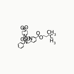 CC(C)CCOC(=O)c1ccc(CN(c2ccccc2)S(=O)(=O)N2CCS(=O)(=O)CC2)nc1